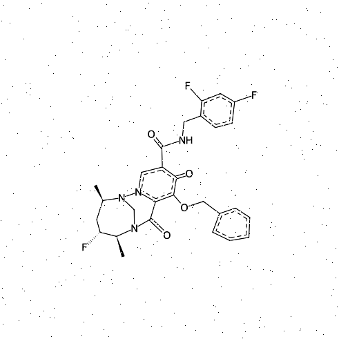 C[C@@H]1C[C@@H](F)[C@H](C)N2CN1n1cc(C(=O)NCc3ccc(F)cc3F)c(=O)c(OCc3ccccc3)c1C2=O